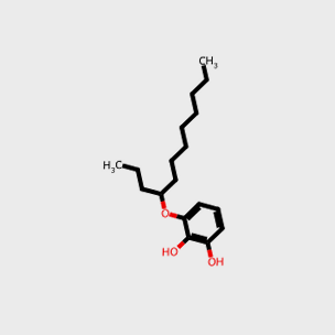 CCCCCCCCC(CCC)Oc1cccc(O)c1O